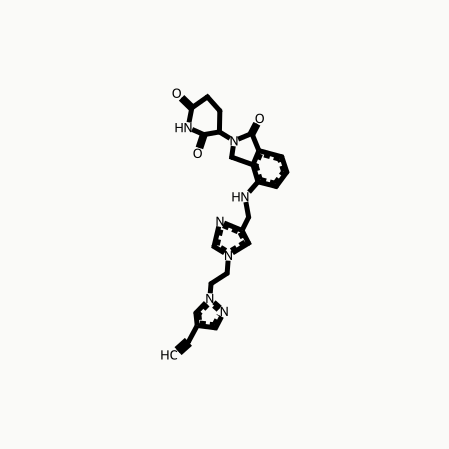 C#Cc1cnn(CCn2cnc(CNc3cccc4c3CN(C3CCC(=O)NC3=O)C4=O)c2)c1